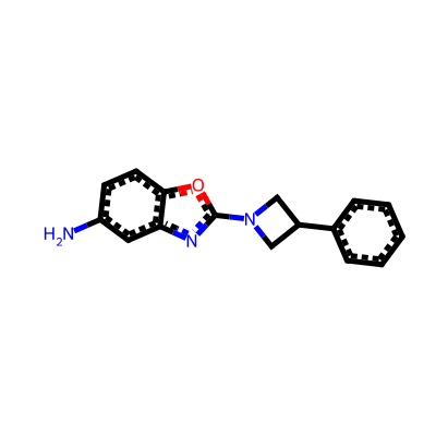 Nc1ccc2oc(N3CC(c4ccccc4)C3)nc2c1